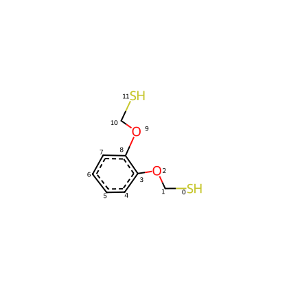 SCOc1ccccc1OCS